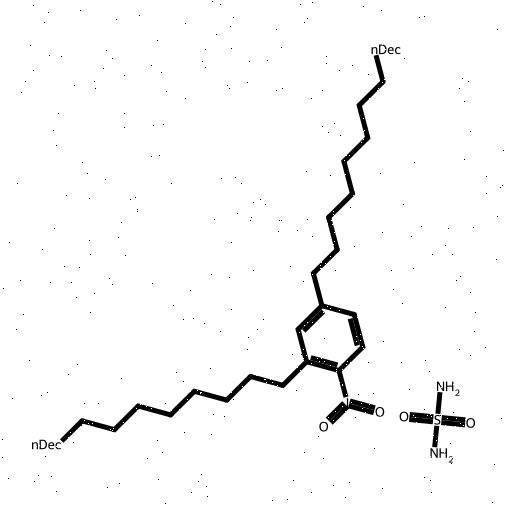 CCCCCCCCCCCCCCCCCCc1ccc(I(=O)=O)c(CCCCCCCCCCCCCCCCCC)c1.NS(N)(=O)=O